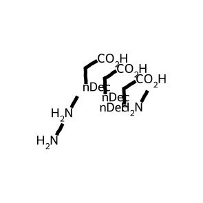 CCCCCCCCCCCC(=O)O.CCCCCCCCCCCC(=O)O.CCCCCCCCCCCC(=O)O.CN.CN.CN